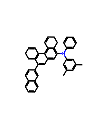 Cc1cc(C)cc(N(c2ccccc2)c2cc3cc(-c4ccc5ccccc5c4)c4c(c3c3c2CCC=C3)C=CCC4)c1